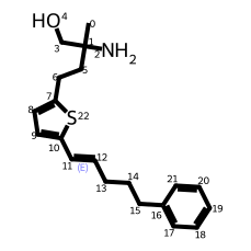 CC(N)(CO)CCc1ccc(/C=C/CCCc2ccccc2)s1